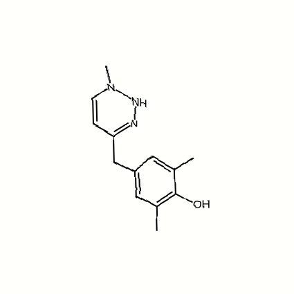 Cc1cc(CC2=NNN(C)C=C2)cc(C)c1O